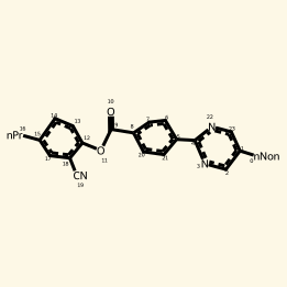 CCCCCCCCCc1cnc(-c2ccc(C(=O)Oc3ccc(CCC)cc3C#N)cc2)nc1